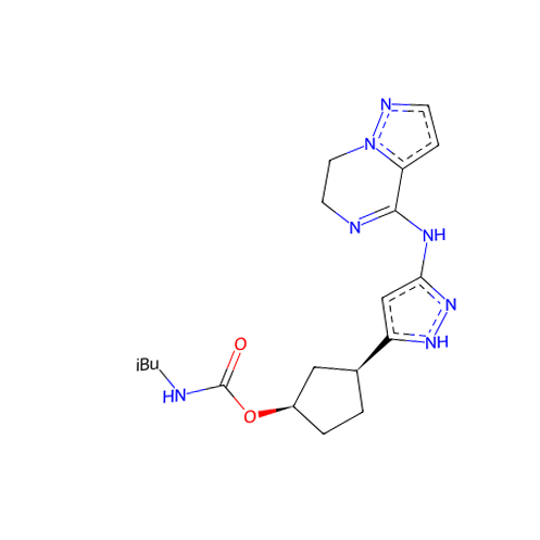 CCC(C)NC(=O)O[C@@H]1CC[C@H](c2cc(NC3=NCCn4nccc43)n[nH]2)C1